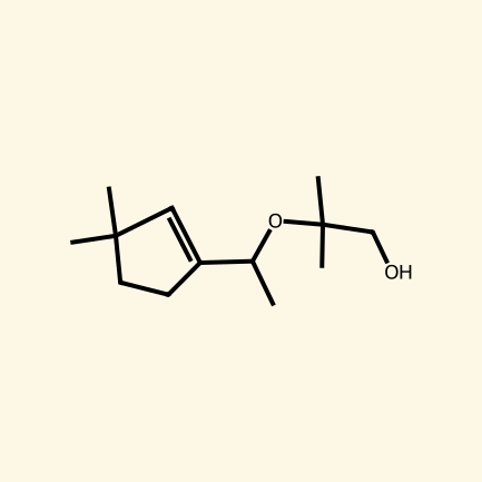 CC(OC(C)(C)CO)C1=CC(C)(C)CC1